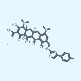 CN(C)c1cc(CNc2nc(-c3ccc(F)cc3)co2)c(O)c2c1C[C@H]1C[C@H]3[C@H](N(C)C)C(O)=C(C(N)=O)C(=O)[C@@]3(O)C(O)=C1C2=O